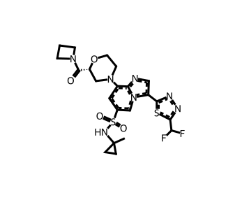 CC1(NS(=O)(=O)c2cc(N3CCO[C@@H](C(=O)N4CCC4)C3)c3ncc(-c4nnc(C(F)F)s4)n3c2)CC1